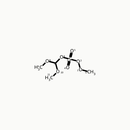 COOS(=O)(=O)OC(OC)OC